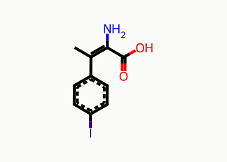 C/C(=C(\N)C(=O)O)c1ccc(I)cc1